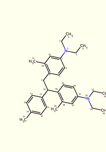 CCN(CC)c1ccc(CC(c2ccc(C)cc2)c2ccc(N(CC)CC)cc2C)c(C)c1